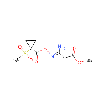 CC(C)(C)OC(=O)C/C(N)=N/OC(=O)C1(S(C)(=O)=O)CC1